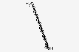 C=CCOCCOCCOCCOCCOCCOCCOCCOCCOCCOCC(=O)O